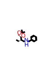 CC[C@@H](CNCc1ccccc1)[C@@H]1COC(C)(C)O1